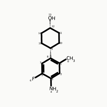 Cc1cc(N)c(F)cc1[C@H]1CC[C@@H](O)CC1